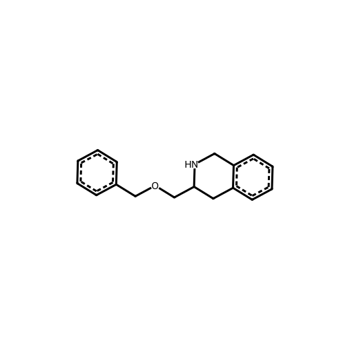 c1ccc(COCC2Cc3ccccc3CN2)cc1